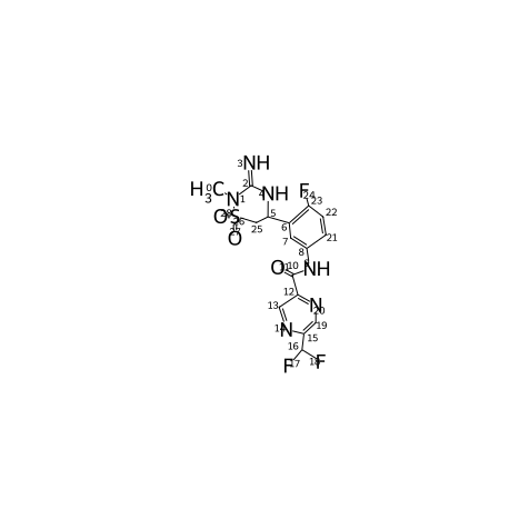 CN1C(=N)NC(c2cc(NC(=O)c3cnc(C(F)F)cn3)ccc2F)CS1(=O)=O